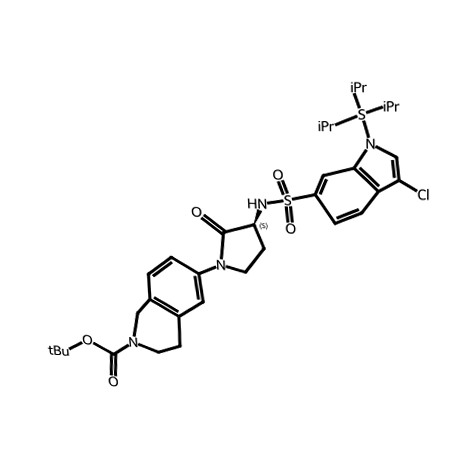 CC(C)S(C(C)C)(C(C)C)n1cc(Cl)c2ccc(S(=O)(=O)N[C@H]3CCN(c4ccc5c(c4)CCN(C(=O)OC(C)(C)C)C5)C3=O)cc21